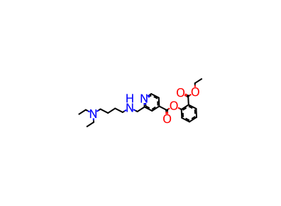 CCOC(=O)c1ccccc1OC(=O)c1ccnc(CNCCCCN(CC)CC)c1